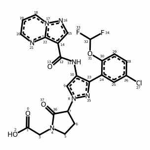 O=C(O)CN1CCC(n2cc(NC(=O)c3cnn4cccnc34)c(-c3cc(Cl)ccc3OC(F)F)n2)C1=O